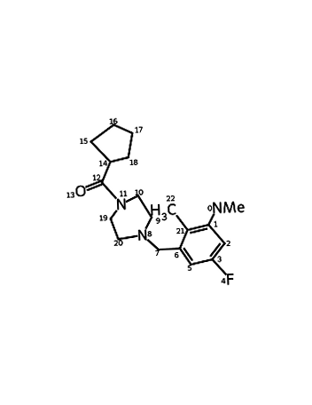 CNc1cc(F)cc(CN2CCN(C(=O)C3CCCC3)CC2)c1C